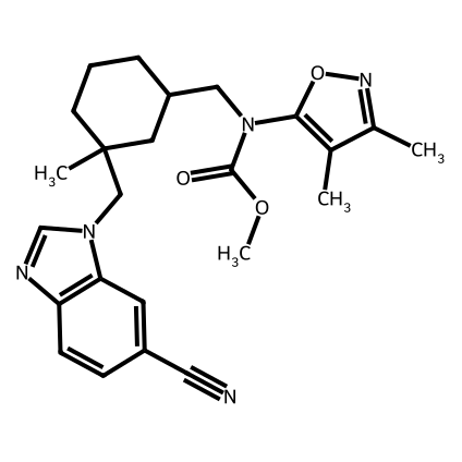 COC(=O)N(CC1CCCC(C)(Cn2cnc3ccc(C#N)cc32)C1)c1onc(C)c1C